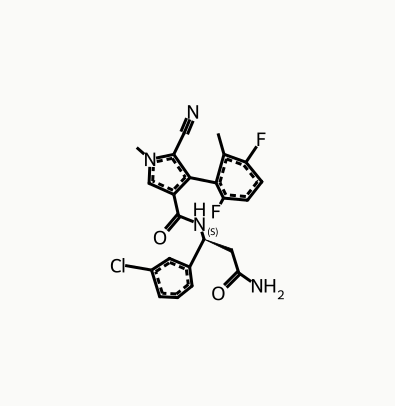 Cc1c(F)ccc(F)c1-c1c(C(=O)N[C@@H](CC(N)=O)c2cccc(Cl)c2)cn(C)c1C#N